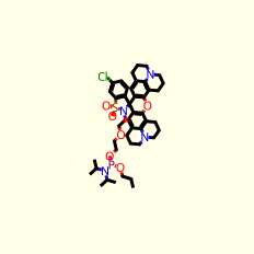 CCCOP(OCCOCCN1C2(c3ccc(Cl)cc3S1(=O)=O)c1cc3c4c(c1Oc1c2cc2c5c1CCCN5CCC2)CCCN4CCC3)N(C(C)C)C(C)C